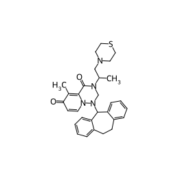 Cc1c2n(ccc1=O)N(C1c3ccccc3CCc3ccccc31)CN(C(C)CN1CCSCC1)C2=O